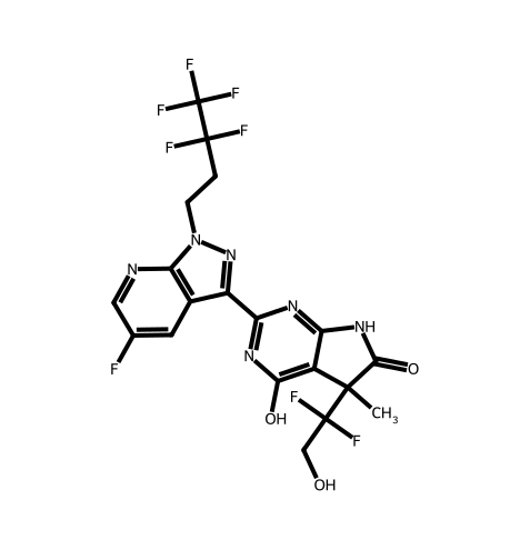 CC1(C(F)(F)CO)C(=O)Nc2nc(-c3nn(CCC(F)(F)C(F)(F)F)c4ncc(F)cc34)nc(O)c21